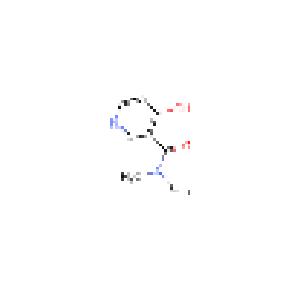 CN(C)C(=O)c1cnc[c]c1O